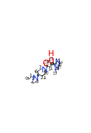 CCN(CC)C1CCN(C(=O)C[C@H](O)c2nccn2C)CC1